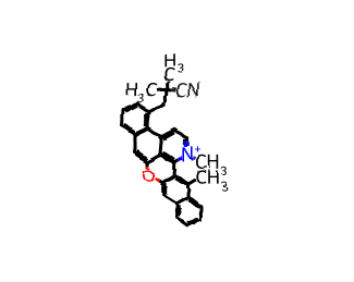 Cc1c2c(cc3ccccc13)Oc1cc3cccc(CC(C)(C)C#N)c3c3cc[n+](C)c-2c13